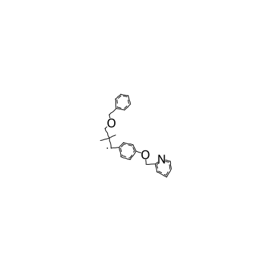 CC(C)([CH]c1ccc(OCc2ccccn2)cc1)COCc1ccccc1